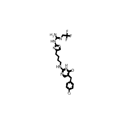 NC(=NCC(F)(F)F)Nc1nc(CCCCNc2ncc(Cc3ccc(Cl)cc3)c(=O)[nH]2)cs1